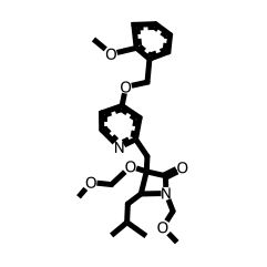 COCOC1(Cc2cc(OCc3ccccc3OC)ccn2)C(=O)N(COC)C1CC(C)C